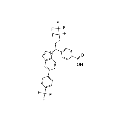 O=C(O)c1ccc(C(CCC(F)(F)C(F)(F)F)n2ccc3cc(-c4ccc(C(F)(F)F)cc4)ccc32)cc1